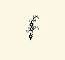 Cc1cc(OCc2ccc(F)cc2F)c(Br)c(=O)n1-c1ccc(C(=O)NCCN)cc1